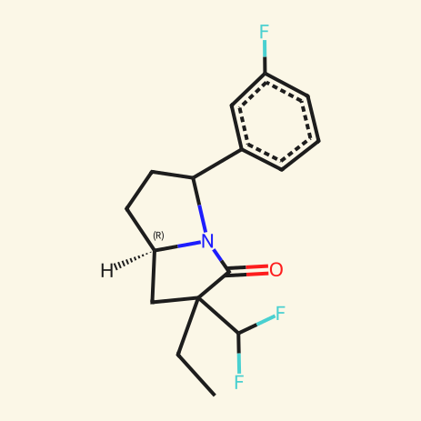 CCC1(C(F)F)C[C@H]2CCC(c3cccc(F)c3)N2C1=O